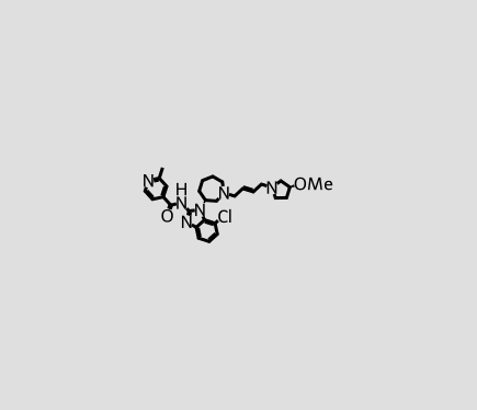 CO[C@H]1CCN(C/C=C/CN2CCCC[C@@H](n3c(NC(=O)c4ccnc(C)c4)nc4cccc(Cl)c43)C2)C1